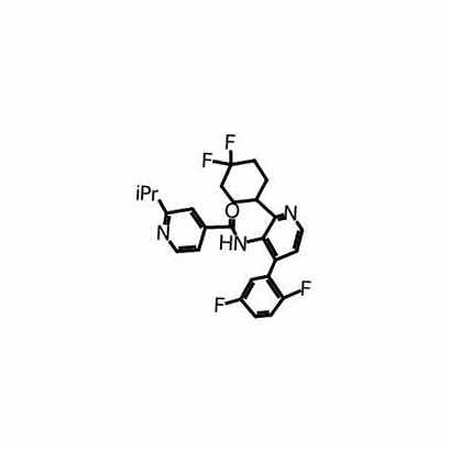 CC(C)c1cc(C(=O)Nc2c(-c3cc(F)ccc3F)ccnc2C2CCC(F)(F)CC2)ccn1